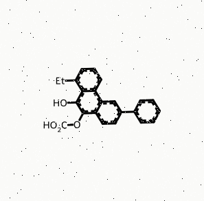 CCc1cccc2c1c(O)c(OC(=O)O)c1ccc(-c3ccccc3)cc12